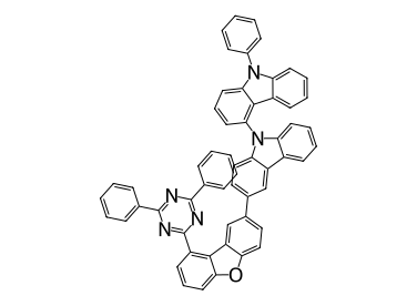 c1ccc(-c2nc(-c3ccccc3)nc(-c3cccc4oc5ccc(-c6ccc7c(c6)c6ccccc6n7-c6cccc7c6c6ccccc6n7-c6ccccc6)cc5c34)n2)cc1